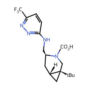 CC(C)(C)[C@@]12C[C@@H]1C[C@@H](CNc1ccc(C(F)(F)F)nn1)N(C(=O)O)C2